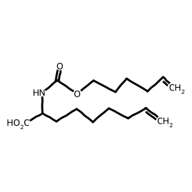 C=CCCCCCC(NC(=O)OCCCCC=C)C(=O)O